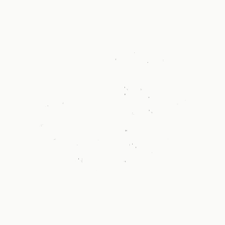 Clc1ccc2cccnc2c1N1CCCN(Cc2cnc(-c3ccccc3)s2)CC1